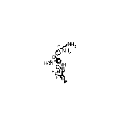 Cl.Cl.Cn1c(-c2cn(C3CC3)nc2C(F)(F)F)cnc1C(=O)Nc1ccc(C(=O)N2CCN(C(=O)C(N)CCCN)CC2)c(Cl)c1